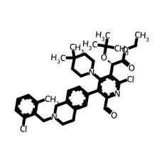 CCOC(=O)[C@@H](OC(C)(C)C)c1c(Cl)nc(C=O)c(-c2ccc3c(c2)CCN(Cc2c(C)cccc2Cl)C3)c1N1CCC(C)(C)CC1